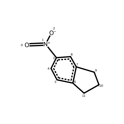 O=[N+]([O-])c1ccc2c(c1)C[CH]C2